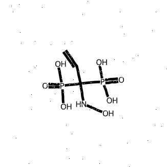 C=CC(NO)(P(=O)(O)O)P(=O)(O)O